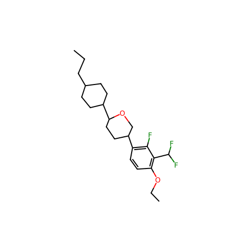 CCCC1CCC(C2CCC(c3ccc(OCC)c(C(F)F)c3F)CO2)CC1